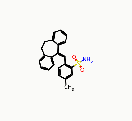 Cc1ccc(C=C2c3ccccc3CCc3ccccc32)c(S(N)(=O)=O)c1